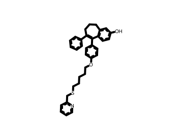 Oc1ccc2c(c1)CCCC(c1ccccc1)=C2c1ccc(OCCCCCSCc2ccccn2)cc1